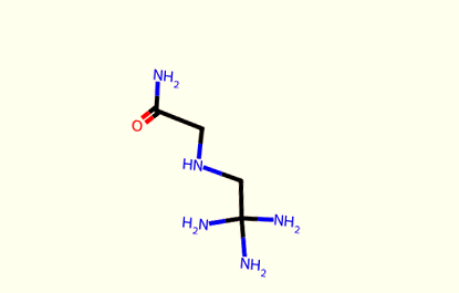 NC(=O)CNCC(N)(N)N